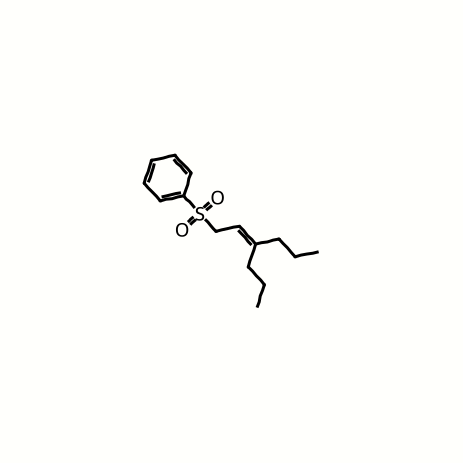 CCCC(=CCS(=O)(=O)c1ccccc1)CCC